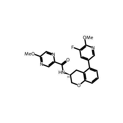 COc1cnc(C(=O)N[C@@H]2COc3cccc(-c4cnc(OC)c(F)c4)c3C2)cn1